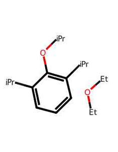 CC(C)Oc1c(C(C)C)cccc1C(C)C.CCOCC